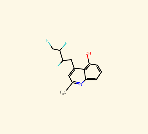 Oc1cccc2nc(C(F)(F)F)cc(CC(F)C(F)CF)c12